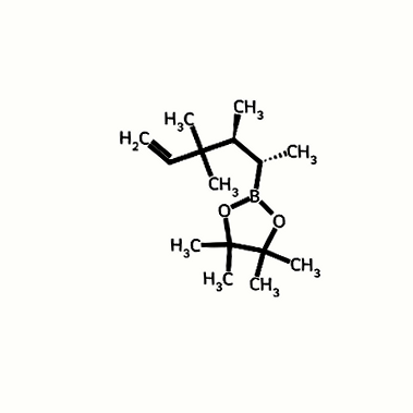 C=CC(C)(C)[C@@H](C)[C@H](C)B1OC(C)(C)C(C)(C)O1